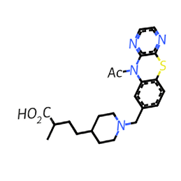 CC(=O)N1c2cc(CN3CCC(CCC(C)C(=O)O)CC3)ccc2Sc2nccnc21